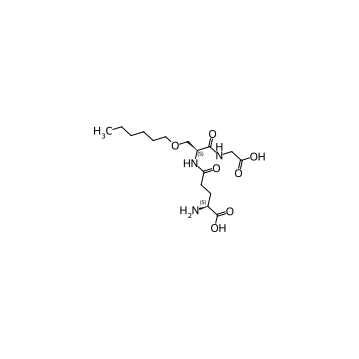 CCCCCCOC[C@H](NC(=O)CC[C@H](N)C(=O)O)C(=O)NCC(=O)O